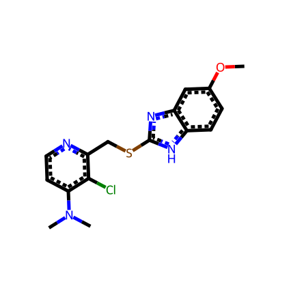 COc1ccc2[nH]c(SCc3nccc(N(C)C)c3Cl)nc2c1